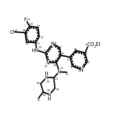 CCOC(=O)c1cncc(-c2cnc(Nc3ccc(F)c(Cl)c3)nc2N(C)C2CNC(C)CN2)c1